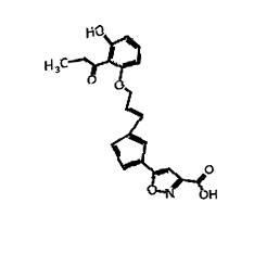 CCC(=O)c1c(O)cccc1OC/C=C/c1cccc(-c2cc(C(=O)O)no2)c1